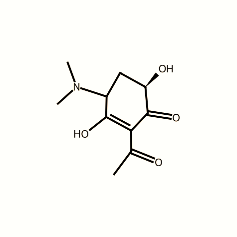 CC(=O)C1=C(O)C(N(C)C)C[C@@H](O)C1=O